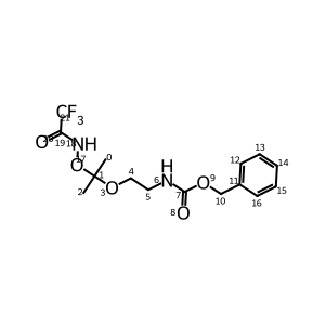 CC(C)(OCCNC(=O)OCc1ccccc1)ONC(=O)C(F)(F)F